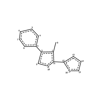 Cc1c(-c2ccccc2)csc1-c1cccs1